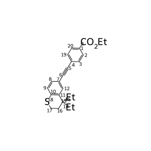 CCOC(=O)c1ccc(C#Cc2ccc3c(c2)C(CC)(CC)CCS3)cc1